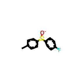 Cc1ccc([S+]([O-])c2ccc(F)cc2)cc1